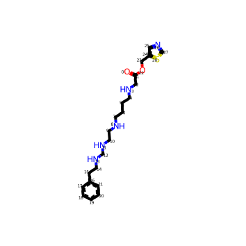 O=C(CNCCCCNCCNCNCCc1ccccc1)OCc1cncs1